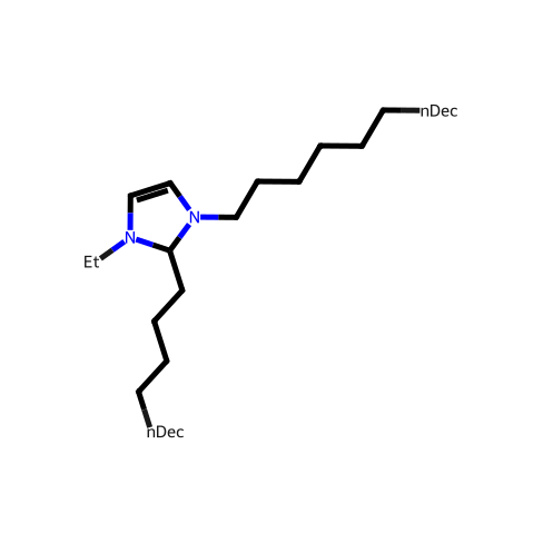 CCCCCCCCCCCCCCCCN1C=CN(CC)C1CCCCCCCCCCCCCC